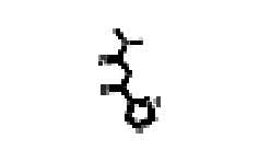 CN(C)C(=O)CC(=O)c1cnc[nH]1